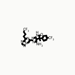 CC1(c2ccc(C(F)(F)F)cc2)C(=O)Nc2nc(-c3cn4ncnc4c(CCCC(F)(F)F)n3)nc(N)c21